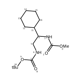 COC(=O)NC(CNC(=O)OC(C)(C)C)C1CCCCC1